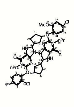 CCCn1c(Oc2ccc(F)cc2Cl)nc2c(c1=O)NC(C1CCCC1)N2N1c2nc(Oc3ccc(Cl)cc3OC)n(CCC)c(=O)c2NC1C1CCCC1